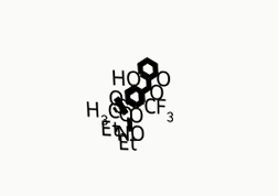 CCN(CC)C(=O)COc1c(S(C)(=O)=O)ccc(C(=O)C2=C(O)CCCC2=O)c1C(F)(F)F